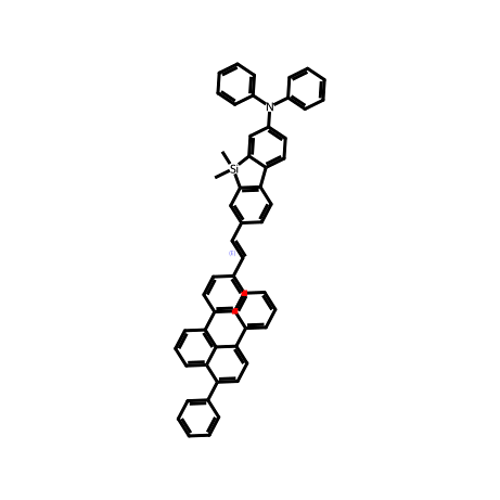 C[Si]1(C)c2cc(/C=C/c3ccc(-c4cccc5c(-c6ccccc6)ccc(-c6ccccc6)c45)cc3)ccc2-c2ccc(N(c3ccccc3)c3ccccc3)cc21